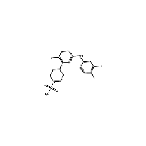 CS(=O)(=O)N1CCN(c2nc(Nc3ccc(F)c(Cl)c3)ncc2Br)CC1